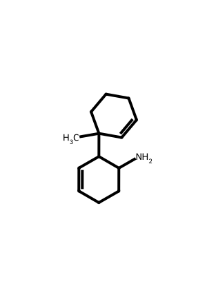 CC1(C2C=CCCC2N)C=CCCC1